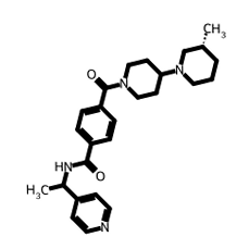 CC(NC(=O)c1ccc(C(=O)N2CCC(N3CCC[C@@H](C)C3)CC2)cc1)c1ccncc1